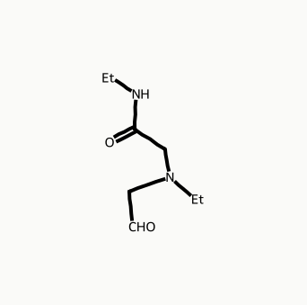 CCNC(=O)CN(CC)CC=O